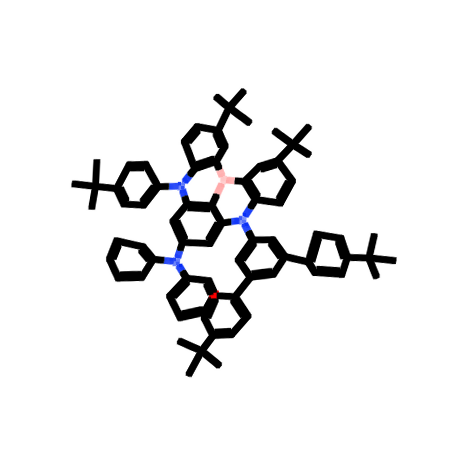 CC(C)(C)c1ccc(-c2cc(-c3ccc(C(C)(C)C)cc3)cc(N3c4ccc(C(C)(C)C)cc4B4c5cc(C(C)(C)C)ccc5N(c5ccc(C(C)(C)C)cc5)c5cc(N(c6ccccc6)c6ccccc6)cc3c54)c2)cc1